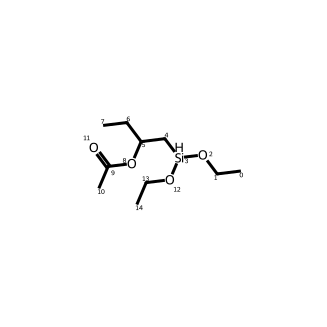 CCO[SiH](CC(CC)OC(C)=O)OCC